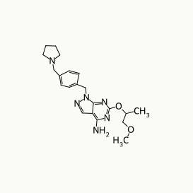 COCC(C)Oc1nc(N)c2cnn(Cc3ccc(CN4CCCC4)cc3)c2n1